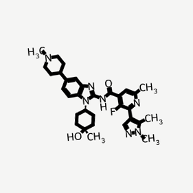 Cc1cc(C(=O)Nc2nc3cc(C4CCN(C)CC4)ccc3n2[C@H]2CC[C@@](C)(O)CC2)c(F)c(-c2cnn(C)c2C)n1